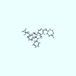 CN1CCC[C@H](Oc2ccc(-c3nc4c(OC5(C)CC5)ncnc4n3Cc3ccccc3)c(Cl)c2)CC1